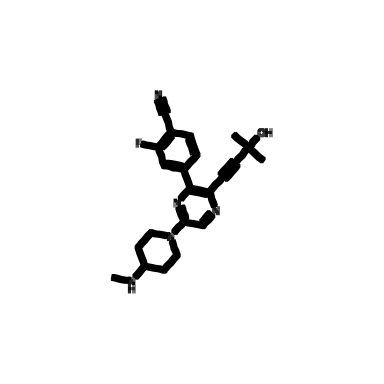 CNC1CCN(c2cnc(C#CC(C)(C)O)c(-c3ccc(C#N)c(F)c3)n2)CC1